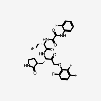 CC(C)C[C@H](NC(=O)C(=O)Nc1ccccc1F)C(=O)N[C@@H](C[C@@H]1CCNC1=O)C(=O)COc1c(F)ccc(F)c1F